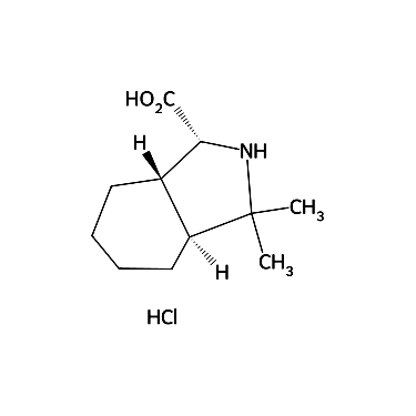 CC1(C)N[C@@H](C(=O)O)[C@H]2CCCC[C@@H]21.Cl